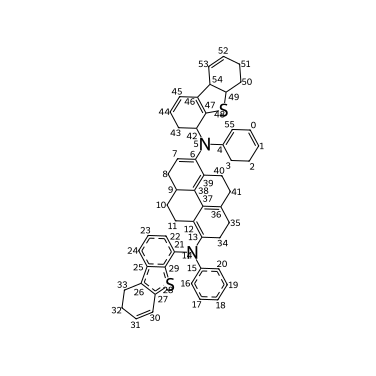 C1=CCCC(N(C2=CCC3CCC4=C(N(c5ccccc5)c5cccc6c7c(sc56)C=CCC7)CCC5=C4C3=C2CC5)C2CC=CC3=C2SC2CCC=CC32)=C1